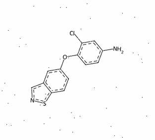 Nc1ccc(Oc2ccc3sncc3c2)c(Cl)c1